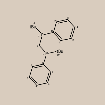 CC(C)(C)P(CP(c1ccccc1)C(C)(C)C)c1ccccc1